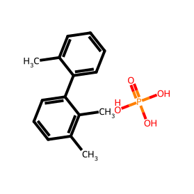 Cc1ccccc1-c1cccc(C)c1C.O=P(O)(O)O